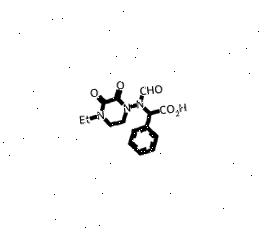 CCN1CCN(N(C=O)C(C(=O)O)c2ccccc2)C(=O)C1=O